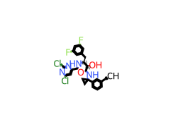 C#Cc1cccc(C2(NC[C@H](O)[C@H](Cc3cc(F)cc(F)c3)NC(=O)c3cc(Cl)nc(Cl)n3)CC2)c1